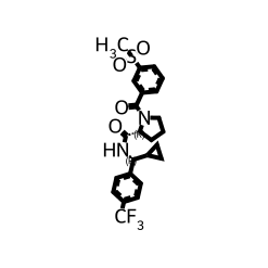 CS(=O)(=O)c1cccc(C(=O)N2CCC[C@@H]2C(=O)N[C@@H](c2ccc(C(F)(F)F)cc2)C2CC2)c1